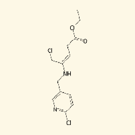 CCOC(=O)CC=C(CCl)NCc1ccc(Cl)nc1